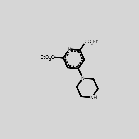 CCOC(=O)c1cc(N2CCNCC2)cc(C(=O)OCC)n1